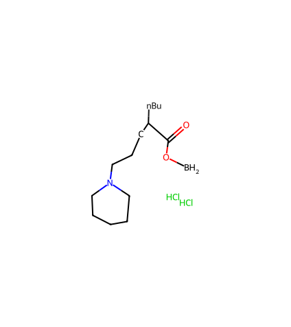 BOC(=O)C(CCCC)CCCN1CCCCC1.Cl.Cl